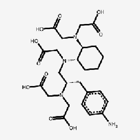 Nc1ccc(C[C@@H](CN(CC(=O)O)[C@H]2CCCC[C@@H]2N(CC(=O)O)CC(=O)O)N(CC(=O)O)CC(=O)O)cc1